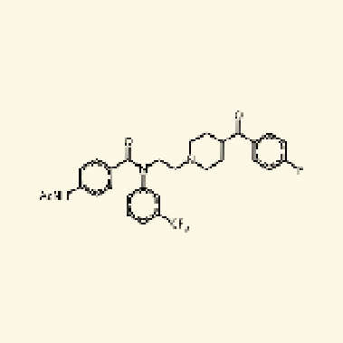 CC(=O)Nc1ccc(C(=O)N(CCN2CCC(C(=O)c3ccc(F)cc3)CC2)c2cccc(C(F)(F)F)c2)cc1